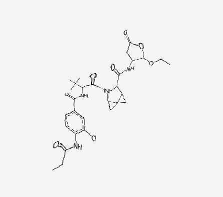 CCOC1OC(=O)CC1NC(=O)C1C2CC23CC3N1C(=O)C(NC(=O)c1ccc(NC(=O)CC)c(Cl)c1)C(C)(C)C